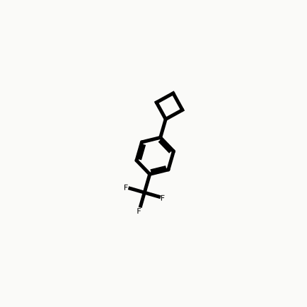 FC(F)(F)c1ccc([C]2CCC2)cc1